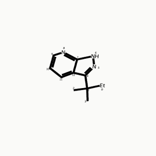 CCC(C)(C)c1n[nH]c2ncccc12